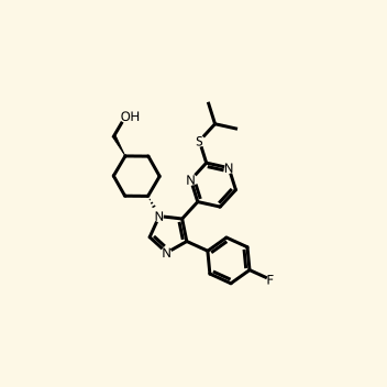 CC(C)Sc1nccc(-c2c(-c3ccc(F)cc3)ncn2[C@H]2CC[C@H](CO)CC2)n1